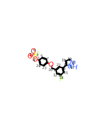 O=S(=O)(F)Oc1ccc(OCc2cc(F)cc(-c3ccn[nH]3)c2)cc1